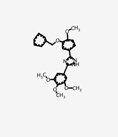 COc1ccc(-c2n[nH]c(-c3cc(OC)c(OC)c(OC)c3)n2)cc1OCc1ccccc1